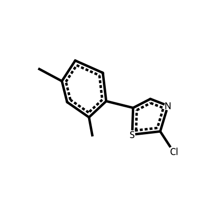 Cc1ccc(-c2cnc(Cl)s2)c(C)c1